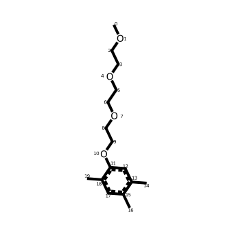 COCCOCCOCCOc1cc(C)c(C)cc1C